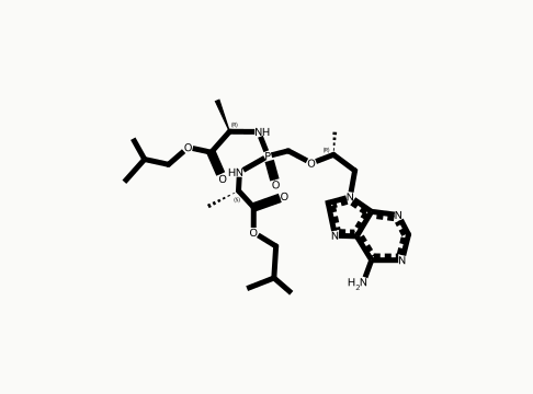 CC(C)COC(=O)[C@H](C)NP(=O)(CO[C@H](C)Cn1cnc2c(N)ncnc21)N[C@H](C)C(=O)OCC(C)C